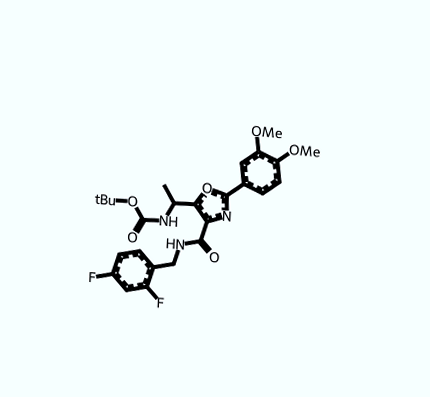 COc1ccc(-c2nc(C(=O)NCc3ccc(F)cc3F)c(C(C)NC(=O)OC(C)(C)C)o2)cc1OC